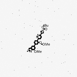 COCOc1cc(-c2cc(OC)c3nn(C)cc3c2)ccc1-c1ccc(C2CN(C(=O)OC(C)(C)C)C2)nn1